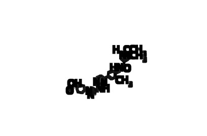 Cc1cc(-c2ccnc(Nc3cnn([C@H]4CC[C@@H](C(=O)O)CC4)c3)n2)ccc1CNC(=O)c1cnn(C(C)(C)C)c1